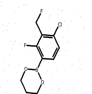 FCc1c(Cl)ccc(B2OCCCO2)c1F